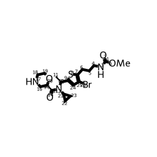 COC(=O)NCCCc1sc([C@H](C)N(C(=O)[C@H]2CNCCO2)C2CC2)cc1Br